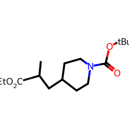 CCOC(=O)C(C)CC1CCN(C(=O)OC(C)(C)C)CC1